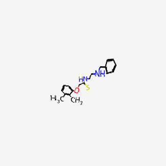 Cc1cccc(OCC(=S)NCCNCc2ccccc2)c1C